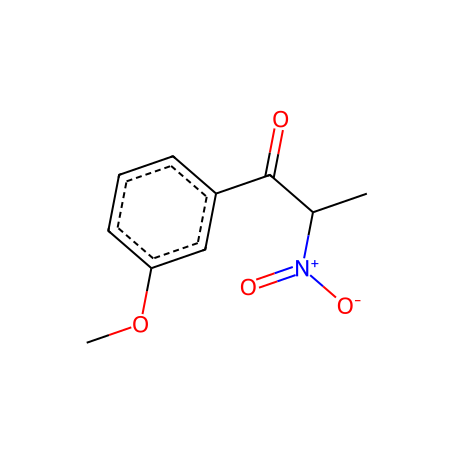 COc1cccc(C(=O)C(C)[N+](=O)[O-])c1